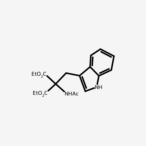 CCOC(=O)C(Cc1c[nH]c2ccccc12)(NC(C)=O)C(=O)OCC